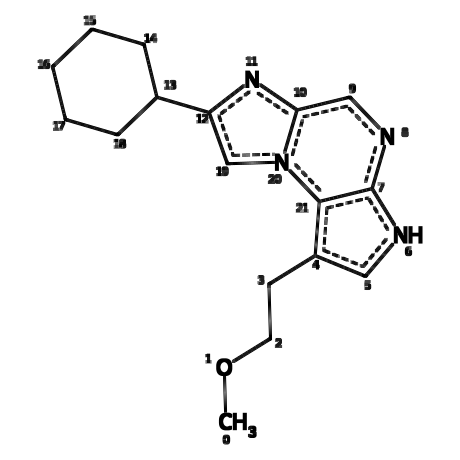 COCCc1c[nH]c2ncc3nc(C4CCCCC4)cn3c12